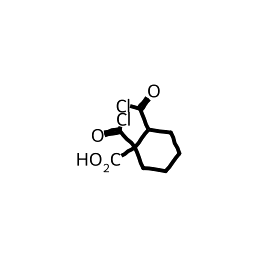 O=C(Cl)C1CCCCC1(C(=O)O)C(=O)Cl